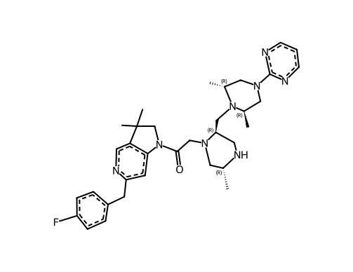 C[C@@H]1CN(CC(=O)N2CC(C)(C)c3cnc(Cc4ccc(F)cc4)cc32)[C@@H](CN2[C@H](C)CN(c3ncccn3)C[C@H]2C)CN1